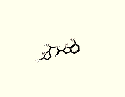 Cc1cccc2c1NC(C(=O)NC(C)C1CCN(C)N1)C2